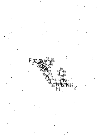 Nc1nc(Nc2ccc(Oc3ccnc(CN(OC(=O)C(F)(F)F)S(=O)(=O)c4ccc(F)cc4)c3)cc2)cc(-c2ccccc2)n1